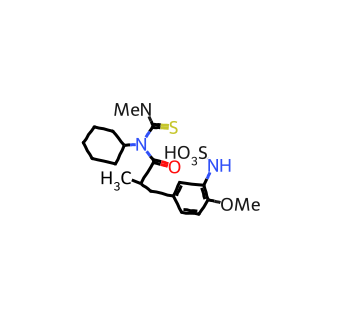 CNC(=S)N(C(=O)C(C)Cc1ccc(OC)c(NS(=O)(=O)O)c1)C1CCCCC1